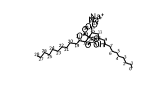 CCCCCCCCCCCCC(C(=O)[O-])C(CCCCCCCCCCCC)(C(=O)[O-])S(=O)(=O)O.[Na+].[Na+]